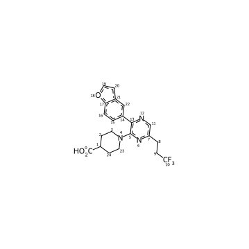 O=C(O)C1CCN(c2nc(CCC(F)(F)F)cnc2-c2ccc3occc3c2)CC1